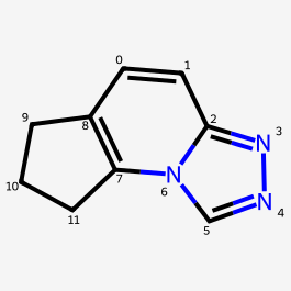 c1cc2nncn2c2c1CCC2